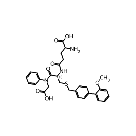 COc1ccccc1-c1ccc(CSC[C@H](NC(=O)CCC(N)C(=O)O)C(=O)N(CC(=O)O)c2ccccc2)cc1